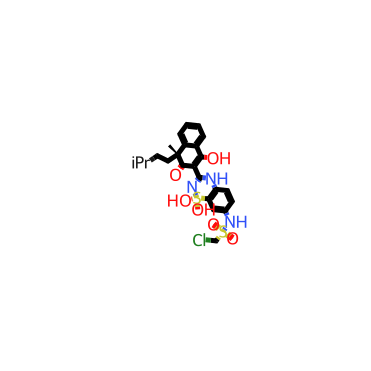 CC(C)CC[C@@]1(C)C(=O)C(C2=NS(O)(O)c3cc(NS(=O)(=O)CCl)ccc3N2)=C(O)c2ccccc21